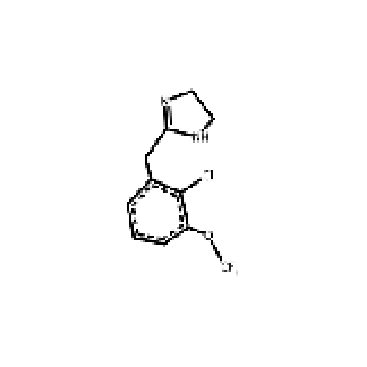 FC(F)(F)Oc1cccc(CC2=NCCN2)c1Cl